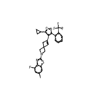 Cc1cc(F)c2nc(N3CC4(C=C(c5c(-c6ccccc6C(F)(F)F)noc5C5CC5)C4)C3)sc2c1